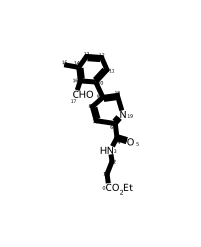 CCOC(=O)CCNC(=O)c1ccc(-c2cccc(C)c2C=O)cn1